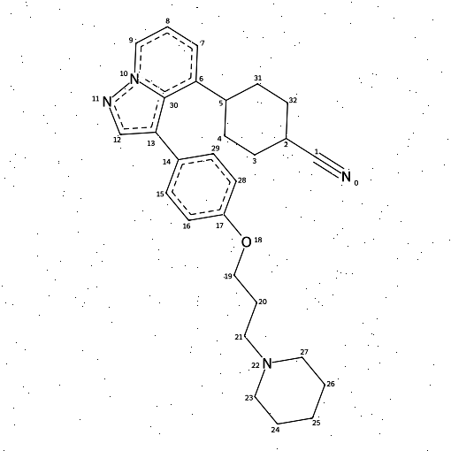 N#CC1CCC(c2cccn3ncc(-c4ccc(OCCCN5CCCCC5)cc4)c23)CC1